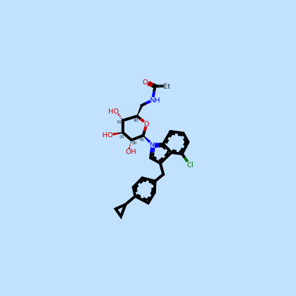 CCC(=O)NC[C@H]1O[C@@H](n2cc(Cc3ccc(C4CC4)cc3)c3c(Cl)cccc32)[C@H](O)[C@@H](O)[C@@H]1O